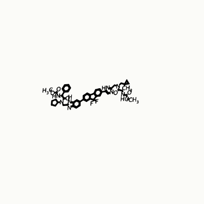 COC(=O)NCC(=O)N(Cc1ncc(-c2ccc3c(c2)C(F)(F)c2cc(-c4ccc5nc(CN(C(=O)[C@H](NC(=O)OC)c6ccccc6)C6CCCC6)[nH]c5c4)ccc2-3)[nH]1)CC1(C)CC1